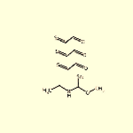 CCN[CH]([Sn])OC.O=CC=S.O=CC=S.O=CC=S